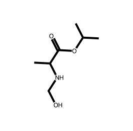 CC(C)OC(=O)C(C)NCO